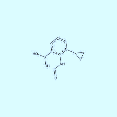 O=CNc1c(B(O)O)cccc1C1CC1